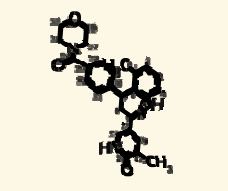 Cc1ccccc1C(C/C(=N\O)c1c[nH]c(=O)c(C)c1)c1ccc(C(=O)N2CCOCC2)cc1